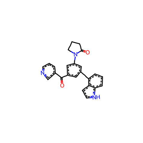 O=C(c1cccnc1)c1cc(-c2cccc3[nH]ccc23)cc(N2CCCC2=O)c1